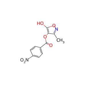 Cc1noc(O)c1OC(=O)c1ccc([N+](=O)[O-])cc1